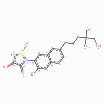 CC(C)(CO)CCCc1ccc2cc(O)c(-n3c(=O)c(=O)[nH][s+]3[O-])cc2c1